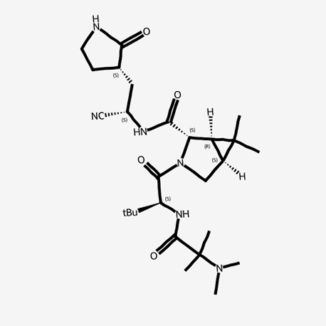 CN(C)C(C)(C)C(=O)N[C@H](C(=O)N1C[C@H]2[C@@H]([C@H]1C(=O)N[C@H](C#N)C[C@@H]1CCNC1=O)C2(C)C)C(C)(C)C